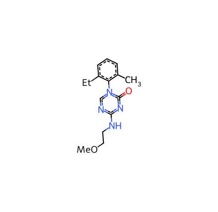 CCc1cccc(C)c1-n1cnc(NCCOC)nc1=O